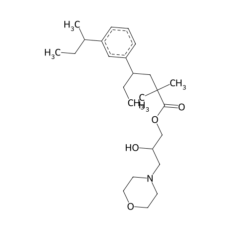 CCC(C)c1cccc(C(CC)CC(C)(C)C(=O)OCC(O)CN2CCOCC2)c1